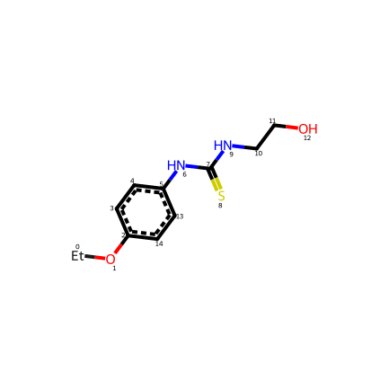 CCOc1ccc(NC(=S)NCCO)cc1